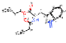 CCCCCCCCCCCCOC(=O)[C@H](Cc1c[nH]c2ccccc12)NC(=O)CCCCCCCCCCC